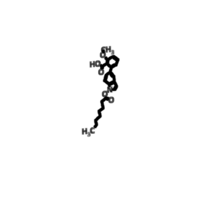 CCCCCCCC(=O)On1ccc2cc(-c3cccc(OC)c3C(=O)O)ccc21